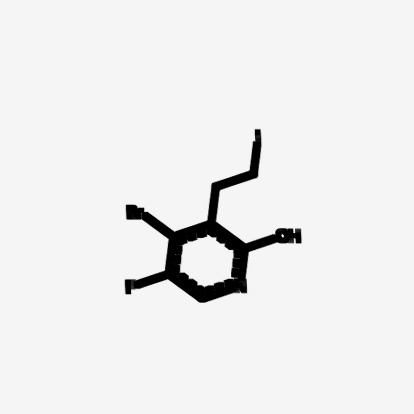 Oc1ncc(F)c(Br)c1CCI